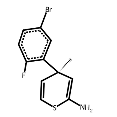 C[C@@]1(c2cc(Br)ccc2F)C=CSC(N)=C1